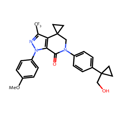 COc1ccc(-n2nc(C(F)(F)F)c3c2C(=O)N(c2ccc(C4(CO)CC4)cc2)CC32CC2)cc1